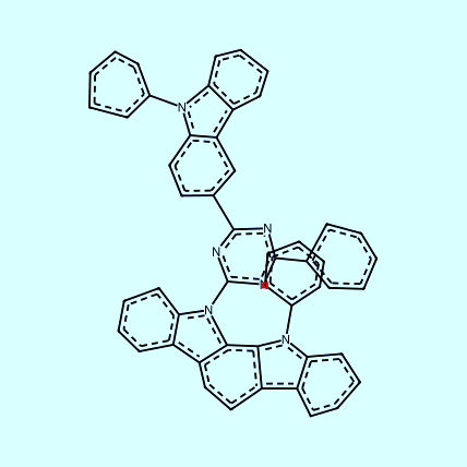 c1ccc(-c2nc(-c3ccc4c(c3)c3ccccc3n4-c3ccccc3)nc(-n3c4ccccc4c4ccc5c6ccccc6n(-c6ccccc6)c5c43)n2)cc1